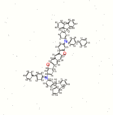 CC1(c2cccc(N(c3ccc(-c4ccccc4)cc3)c3ccc4c(c3)oc3cc5cc6c(cc5cc34)oc3cc(N(c4ccc(-c5ccccc5)cc4)c4cccc(C5(C)c7ccccc7-c7ccccc75)c4)ccc36)c2)c2ccccc2-c2ccccc21